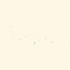 CNC(=O)N1CCC(Nc2ccc3c(c2)C(=O)N(C[C@H](O)CN2CCc4ccccc4C2)CC32CCCC2)CC1